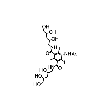 CC(=O)Nc1c(I)c(C(=O)NCC(O)CC(O)CO)c(I)c(C(=O)NCC(O)CC(O)CO)c1I